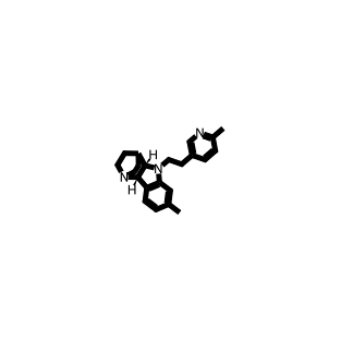 Cc1ccc2c(c1)N(CCc1ccc(C)nc1)[C@@H]1C3CCN(CC3)[C@H]21